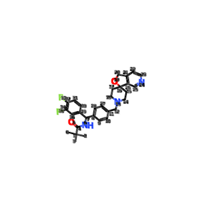 CC(C)(C)C(=O)NC(c1ccc(CN2CCC3(CC2)OCc2ccncc23)cc1)c1ccc(F)c(F)c1